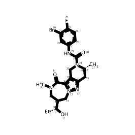 CC[C@@H](O)C1CN(C)C(=O)c2c3c(nn2C1)C[C@@H](C)N(C(=O)Nc1ccc(F)c(Br)c1)C3